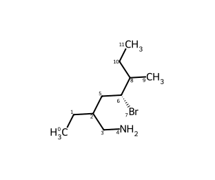 CCC(CN)C[C@@H](Br)C(C)CC